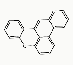 c1ccc2c(c1)Oc1cccc3c1c-2cc1ccccc13